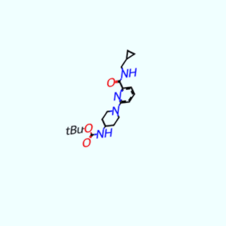 CC(C)(C)OC(=O)NC1CCN(c2cccc(C(=O)NCC3CC3)n2)CC1